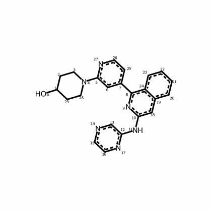 OC1CCN(c2cc(-c3nc(Nc4cnccn4)cc4ccccc34)ccn2)CC1